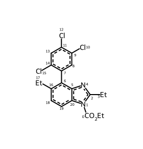 CCOC(=O)n1c(CC)nc2c(-c3cc(Cl)c(Cl)cc3Cl)c(CC)ccc21